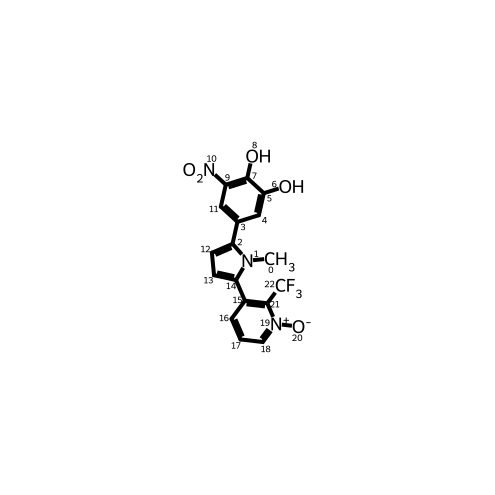 Cn1c(-c2cc(O)c(O)c([N+](=O)[O-])c2)ccc1-c1ccc[n+]([O-])c1C(F)(F)F